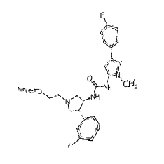 COCCN1C[C@@H](NC(=O)Nc2cc(-c3ccc(F)cc3)nn2C)[C@H](c2cccc(F)c2)C1